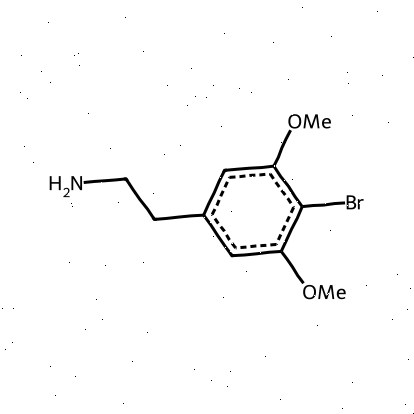 COc1cc(CCN)cc(OC)c1Br